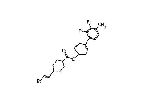 CC/C=C/C1CCC(C(=O)OC2CC=C(c3ccc(C)c(F)c3F)CC2)CC1